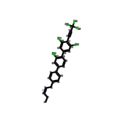 CC/C=C\Cc1ccc(-c2ccc(-c3cc(F)c(C#CC(F)(F)F)c(F)c3)c(F)c2)cc1